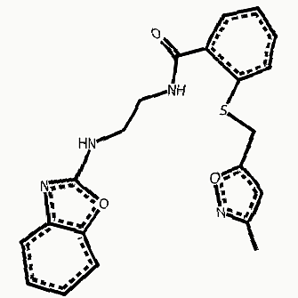 Cc1cc(CSc2ccccc2C(=O)NCCNc2nc3ccccc3o2)on1